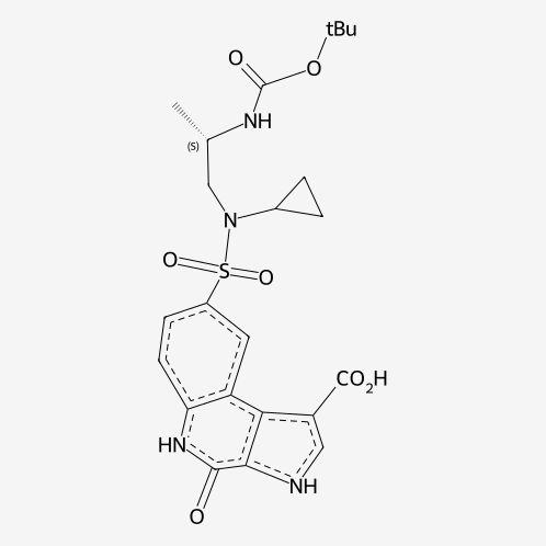 C[C@@H](CN(C1CC1)S(=O)(=O)c1ccc2[nH]c(=O)c3[nH]cc(C(=O)O)c3c2c1)NC(=O)OC(C)(C)C